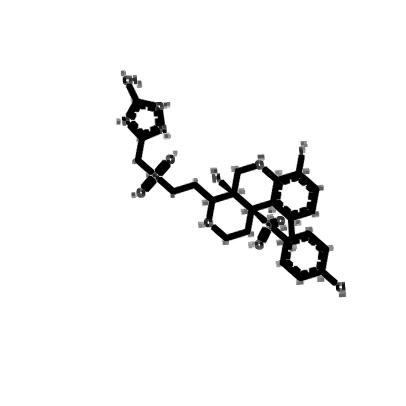 Cc1nc(CS(=O)(=O)CCC2OCC[C@@]3(S(=O)(=O)c4ccc(Cl)cc4)c4c(F)ccc(F)c4OC[C@@H]23)no1